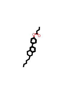 CCCCCC1CCc2cc(-c3ccc(OC(=O)CCC)cc3)ccc2C1